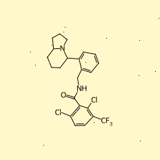 O=C(NCc1ccccc1C1CCCC2CCCN21)c1c(Cl)ccc(C(F)(F)F)c1Cl